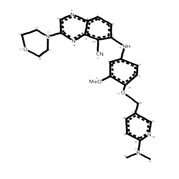 COc1cc(Nc2ccc3ncc(N4CCOCC4)nc3c2C#N)ccc1OCc1ccc(N(C)C)nc1